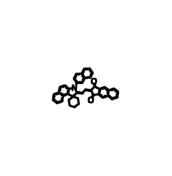 O=C1C(=C/C=C2\N(c3ccc4ccccc4c3)c3ccc4ccccc4c3C23CCCCC3)C(=O)c2cc3ccccc3cc21